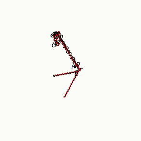 CCCCCCCCCCCCCCCCCCCCOCC(C[N+](C)(C)CCCNC(=O)CCOCCOCCOCCOCCOCCOCCOCCOCCOCCC(=O)NCCC1(C(=O)N[C@@H](Cc2ccc(NC(=O)c3c(Cl)cccc3Cl)cc2)C(=O)O)CCCC1)OCCCCCCCCCCCCCCCCCCCC